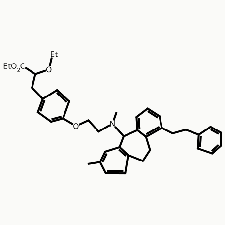 CCOC(=O)C(Cc1ccc(OCCN(C)C2c3cc(C)ccc3CCc3c(CCc4ccccc4)cccc32)cc1)OCC